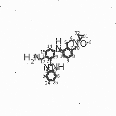 COC1(N2CCc3c(cccc3Nc3ccc(CN)c(-c4nc5ccccc5[nH]4)c3)C2)CC1